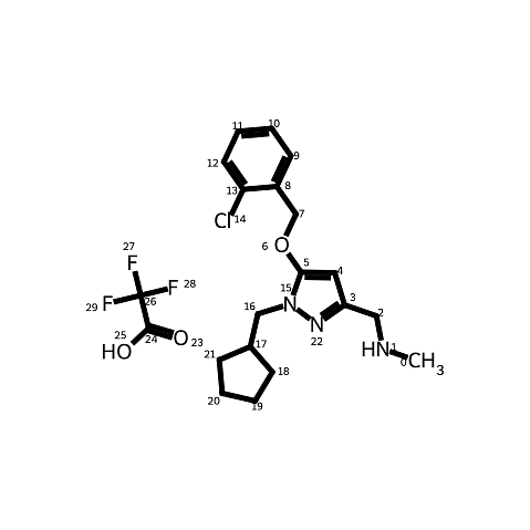 CNCc1cc(OCc2ccccc2Cl)n(CC2CCCC2)n1.O=C(O)C(F)(F)F